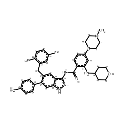 CN1CCN(c2ccc(C(=O)Nc3n[nH]c4cc(-c5ccc(O)cc5)c(Cc5cc(F)ccc5F)cc34)c(NC3CCOCC3)c2)CC1